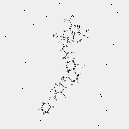 Cn1c(C(F)(F)F)nc([N+](=O)[O-])c1C[N+](C)(C)C/C=C/C(=O)Nc1cc2c(Nc3ccc(OCc4ccccn4)c(F)c3)ncnc2cn1.[Br-]